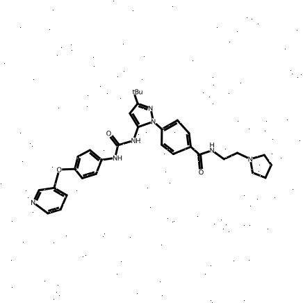 CC(C)(C)c1cc(NC(=O)Nc2ccc(Oc3cccnc3)cc2)n(-c2ccc(C(=O)NCCN3CCCC3)cc2)n1